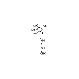 CC(=O)OCC1OC(OCCCNCCCNCCC=O)C(OC(C)=O)C(OC(C)=O)C1OC(C)=O